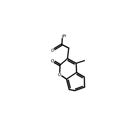 Cc1c(CC(=O)C(C)C)c(=O)oc2ccccc12